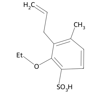 C=CCc1c(C)ccc(S(=O)(=O)O)c1OCC